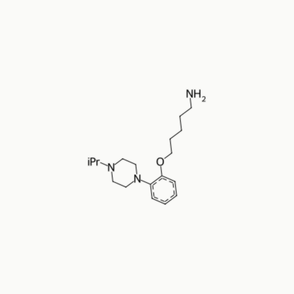 CC(C)N1CCN(c2ccccc2OCCCCCN)CC1